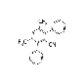 N#Cc1c(-c2ccccc2)c(C(F)(F)F)cc(C(F)(F)F)c1-c1ccccc1